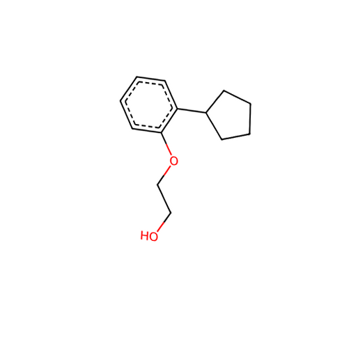 OCCOc1ccccc1C1CCCC1